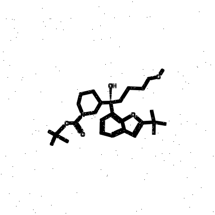 COCCCC[C@@](O)(c1cccc2cc(C(C)(C)C)oc12)C1CCCN(C(=O)OC(C)(C)C)C1